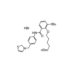 Br.CCCCCCCCCCCCCCOc1c(C(=O)Nc2ccc(CN3C=CSC3)cc2)cccc1C(C)(C)C